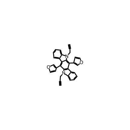 C#CCn1c2ccccc2c2c(-c3ccoc3)c3c(c(-c4ccoc4)c21)c1ccccc1n3CC#C